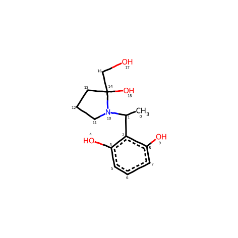 CC(c1c(O)cccc1O)N1CCCC1(O)CO